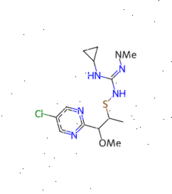 CN/N=C(/NSC(C)C(OC)c1ncc(Cl)cn1)NC1CC1